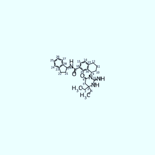 CCC1(CC)CC(=O)N([C@@H]2CCCc3ccc(C(=O)N[C@H]4CCc5ccccc54)cc32)C(=N)N1